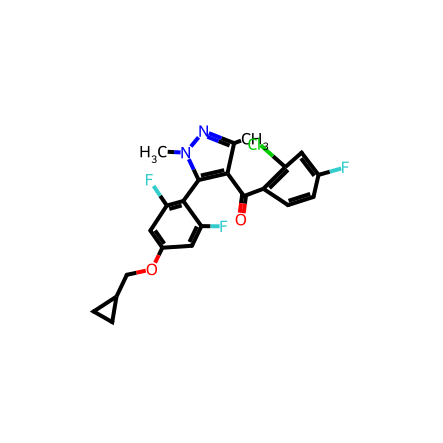 Cc1nn(C)c(-c2c(F)cc(OCC3CC3)cc2F)c1C(=O)c1ccc(F)cc1Cl